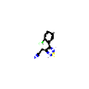 N#CCc1nsnc1-c1ccccc1Cl